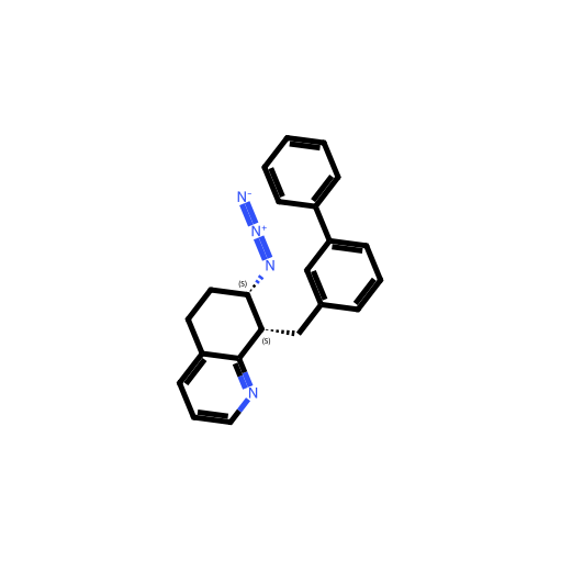 [N-]=[N+]=N[C@H]1CCc2cccnc2[C@H]1Cc1cccc(-c2ccccc2)c1